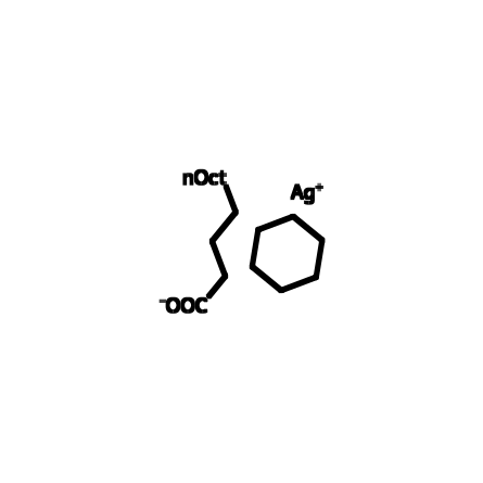 C1CCCCC1.CCCCCCCCCCCC(=O)[O-].[Ag+]